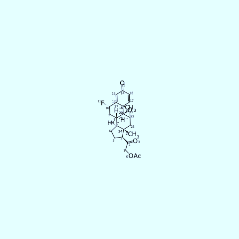 CC(=O)OCC(=O)[C@H]1CC[C@H]2[C@@H]3C[C@H](F)C4=CC(=O)C=C[C@]4(C)[C@@]34O[C@H]4C[C@]12C